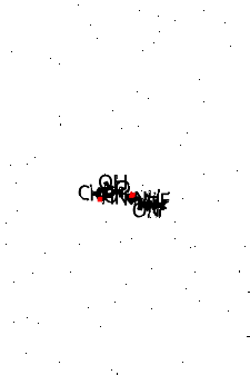 O=C(NC12CC(NC(=O)C3CC(O)c4cc(Cl)ccc4O3)(C1)C2)c1cnc(C(F)F)cn1